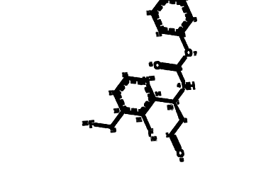 O=CC[C@H](NC(=O)Oc1ccccc1)c1nccc(CF)c1F